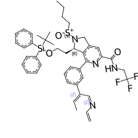 C=C/N=C\C(=C/C)c1cccc(-c2nc(C(=O)NCC(F)(F)F)cc3c2[C@@H](CCO[Si](c2ccccc2)(c2ccccc2)C(C)(C)C)N([S@+]([O-])CCCC)C3)c1